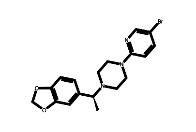 C[C@@H](c1ccc2c(c1)OCO2)N1CCN(c2ccc(Br)cn2)CC1